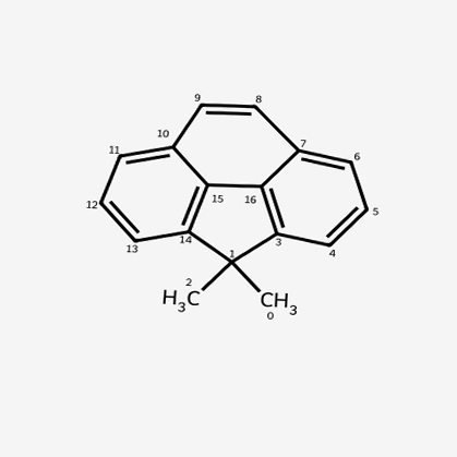 CC1(C)c2cccc3ccc4cccc1c4c23